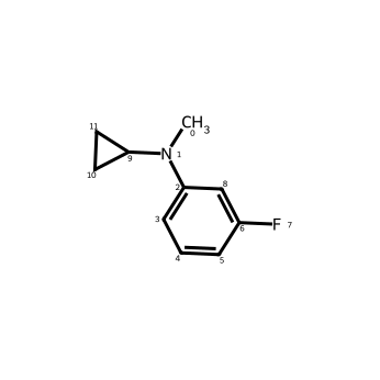 CN(c1cccc(F)c1)C1CC1